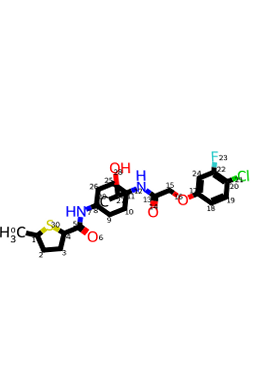 CC1CCC(C(=O)NC23CCC(NC(=O)COc4ccc(Cl)c(F)c4)(CC2)C(O)C3)S1